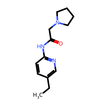 CCc1ccc(NC(=O)CN2CCCC2)nc1